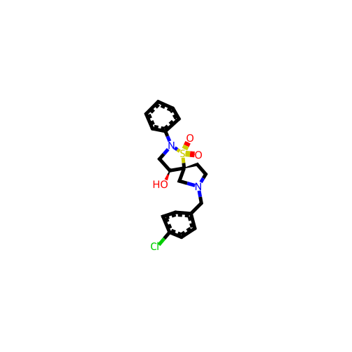 O=S1(=O)N(c2ccccc2)C[C@H](O)[C@]12CCN(Cc1ccc(Cl)cc1)C2